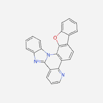 c1ccc2c(c1)nc1c3cccnc3c3ccc4c5ccccc5oc4c3n21